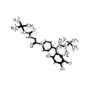 CC(C)(C)OC(=O)NCC(=O)N1CCC([C@@H](N[S@@+]([O-])C(C)(C)C)c2cc(Cl)c(Cl)cc2O)CC1